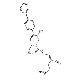 CC(=CCOc1ccccc1CN(C)C(=O)c1ccc(-c2ccccc2)cc1)CCC(=O)O